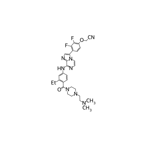 CCc1cc(Nc2nccn3c(-c4ccc(OCC#N)c(F)c4F)cnc23)ccc1C(=O)N1CCN(CCN(C)C)CC1